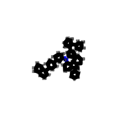 CC1(c2ccccc2)c2ccccc2-c2c(N(c3cccc(-c4ccc(-c5cccc6ccccc56)cc4)c3)c3cccc(-c4ccccc4-c4ccccc4)c3)cccc21